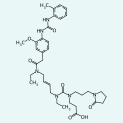 CCN(C/C=C/CN(CC)C(=O)N(CCCN1CCCC1=O)CCC(=O)O)C(=O)Cc1ccc(NC(=O)Nc2ccccc2C)c(OC)c1